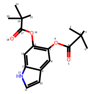 CC(C)(C)C(=O)Oc1cc2cc[nH]c2cc1OC(=O)C(C)(C)C